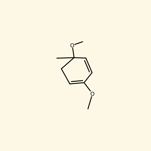 COC1=CCC(C)(OC)C=C1